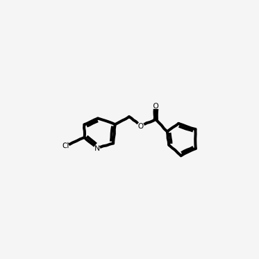 O=C(OCc1ccc(Cl)nc1)c1ccccc1